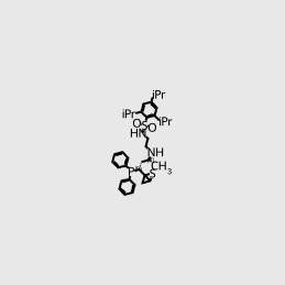 CC(C)c1cc(C(C)C)c(S(=O)(=O)NCCN[C@H](C)C[C@@H](P(c2ccccc2)c2ccccc2)C23CC2S3)c(C(C)C)c1